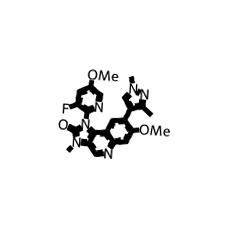 COc1cnc(-n2c(=O)n(C)c3cnc4cc(OC)c(-c5cn(C)nc5C)cc4c32)c(F)c1